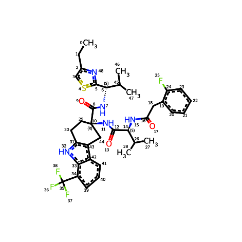 CCc1csc([C@@H](NC(=O)[C@@]2(NC(=O)[C@@H](NC(=O)Cc3ccccc3F)C(C)C)CCc3[nH]c4c(C(F)(F)F)cccc4c3C2)C(C)C)n1